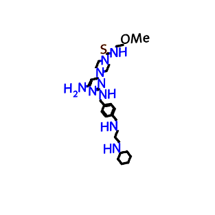 COCCNC(=S)N1CCN(c2cc(N)nc(NCc3ccc(CNCCCNC4CCCCC4)cc3)n2)CC1